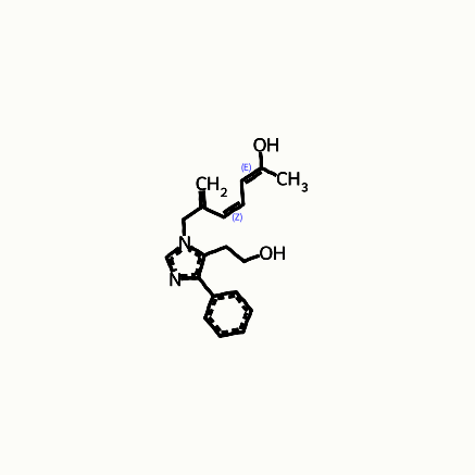 C=C(/C=C\C=C(/C)O)Cn1cnc(-c2ccccc2)c1CCO